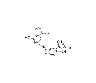 CCCN(CCC)c1cc(/C=N/Nc2ccc3[nH]c(C)c(C)c3c2)nc(O)n1